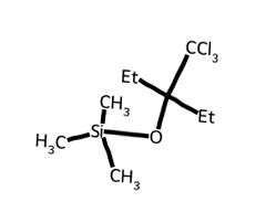 CCC(CC)(O[Si](C)(C)C)C(Cl)(Cl)Cl